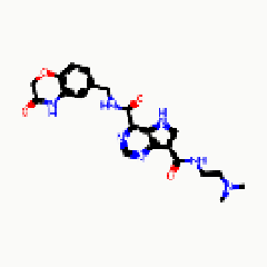 CN(C)CCNC(=O)c1c[nH]c2c(C(=O)NCc3ccc4c(c3)NC(=O)CO4)ncnc12